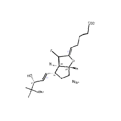 CCCCC(C)(F)[C@H](O)/C=C/[C@H]1CC[C@H]2O/C(=C\CCCC(=O)[O-])C(F)[C@H]12.[Na+]